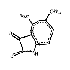 COc1ccc2c(c1OC)C(=O)C(=O)N2